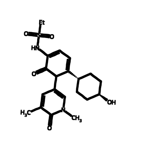 CCS(=O)(=O)NC1=CC=C([C@H]2CC[C@H](O)CC2)C(c2cc(C)c(=O)n(C)c2)C1=O